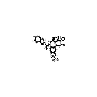 Cn1cc2c3c(c[nH]c3c1=O)CN(C(=O)NCC1CCCCC1)c1ccc(CS(C)(=O)=O)cc1-2